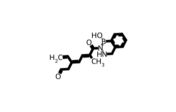 C=C/C(=C\C=C(/C)C(=O)N1NCc2ccccc2B1O)CC=O